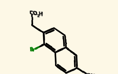 COc1ccc2c(Br)c(CC(=O)O)ccc2c1